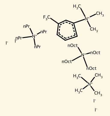 CCCCCCCC[N+](CCCCCCCC)(CCCCCCCC)CCCCCCCC.CCC[N+](CCC)(CCC)CCC.C[N+](C)(C)C.C[N+](C)(C)c1cccc(C(F)(F)F)c1.[I-].[I-].[I-].[I-]